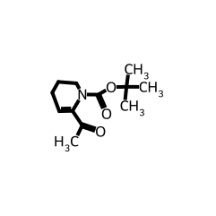 CC(=O)C1=CCCCN1C(=O)OC(C)(C)C